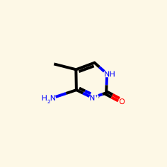 CC1=CNC(=O)[N+]=C1N